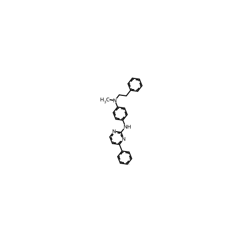 CN(CCc1ccccc1)c1ccc(Nc2nccc(-c3cc[c]cc3)n2)cc1